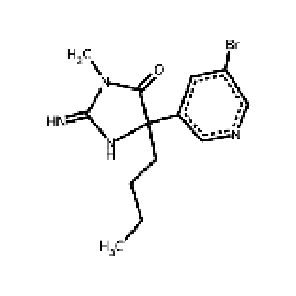 CCCCC1(c2cncc(Br)c2)NC(=N)N(C)C1=O